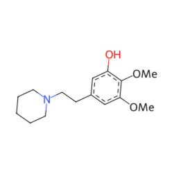 COc1cc(CCN2CCCCC2)cc(O)c1OC